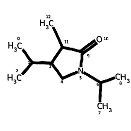 CC(C)C1CN(C(C)C)C(=O)C1C